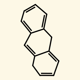 C1=CCC2=Cc3ccccc3CC2=C1